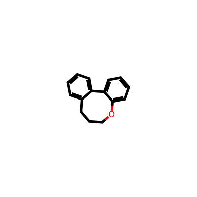 c1ccc2c(c1)CCCOc1ccccc1-2